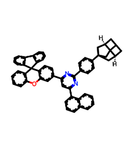 c1ccc2c(c1)Oc1cc(-c3cc(-c4cccc5ccccc45)nc(-c4ccc(C56C[C@H]7CC8C[C@@H](C5)C87C6)cc4)n3)ccc1C21c2ccccc2-c2ccccc21